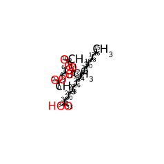 CC(=O)OCC(COC(C)=O)OC(C)=O.CCCCCCCCCCCCCCCCCC(=O)O